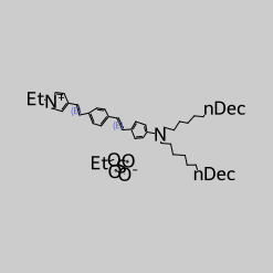 CCCCCCCCCCCCCCCCN(CCCCCCCCCCCCCCCC)c1ccc(/C=C/c2ccc(/C=C/c3cc[n+](CC)cc3)cc2)cc1.CCOS(=O)(=O)[O-]